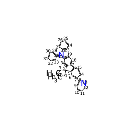 CCC1(CC)c2cc(-c3ccccn3)ccc2-c2ccc(N(c3ccccc3)c3ccccc3)cc21